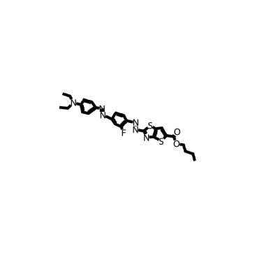 CCCCOC(=O)c1cc2sc(N=Nc3ccc(N=Nc4ccc(N(CC)CC)cc4)cc3F)nc2s1